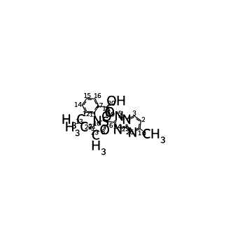 Cc1ccn2nc(S(=O)(=O)N(c3c(C)cccc3C(=O)O)C(C)C)nc2n1